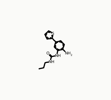 CCCNC(=O)Nc1cc(-c2cccs2)ccc1N